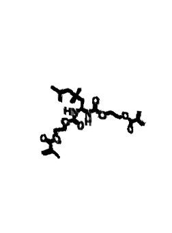 C=C(C)C(=O)OCCOC(=O)NC(CC(C)(C)CC(C)C)NC(=O)OCCOC(=O)C(=C)C